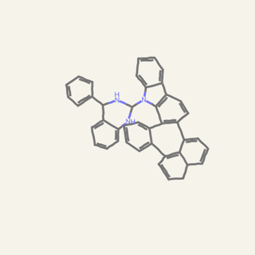 C1=CC2CC=CC3=C2C(=C1)c1ccc2c4ccccc4n(C4Nc5ccccc5C(c5ccccc5)N4)c2c1-c1ccccc13